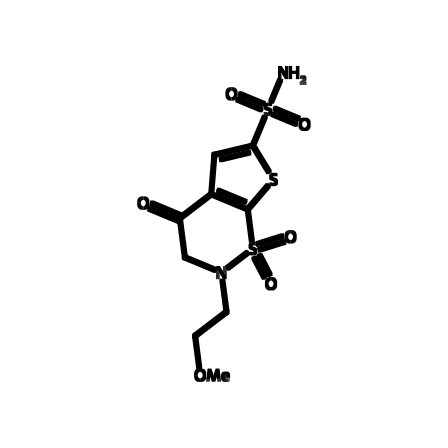 COCCN1CC(=O)c2cc(S(N)(=O)=O)sc2S1(=O)=O